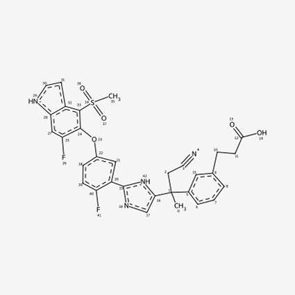 CC(CC#N)(c1cccc(CCC(=O)O)c1)c1cnc(-c2cc(Oc3c(F)cc4[nH]ccc4c3S(C)(=O)=O)ccc2F)[nH]1